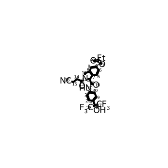 CCS(=O)(=O)c1ccc2c(c1)CN(C(=O)CCC#N)C2C(=O)Nc1ccc(C(O)(C(F)(F)F)C(F)(F)F)cc1